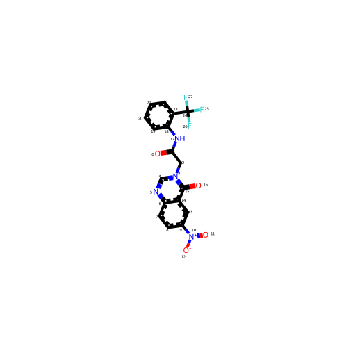 O=C(Cn1cnc2ccc([N+](=O)[O-])cc2c1=O)Nc1ccccc1C(F)(F)F